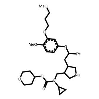 COCCCOc1cc(OC(CC2CNCC2CN(C(=O)OC2CCOCC2)C2CC2)C(C)C)ccc1OC